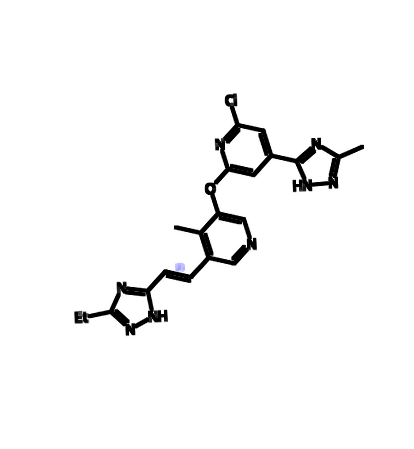 CCc1n[nH]c(/C=C/c2cncc(Oc3cc(-c4nc(C)n[nH]4)cc(Cl)n3)c2C)n1